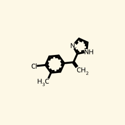 C=C(c1ccc(Cl)c(C)c1)c1ncc[nH]1